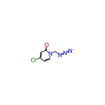 [N-]=[N+]=NCn1ccc(Cl)cc1=O